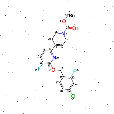 CC(C)(C)OC(=O)N1CC=C(c2ccc(F)c(OCc3ccc(Cl)cc3F)n2)CC1